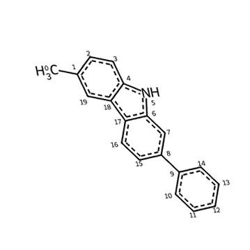 Cc1ccc2[nH]c3cc(-c4ccccc4)ccc3c2c1